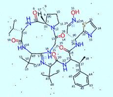 CC(C)[C@@H]1NC(=O)[C@@H]2[C@H](C)CCN2C(=O)CN/C(=N\C(C(=O)NC(C(=O)N[C@H](C/C=N/O)c2nccs2)[C@@H](C)c2ccccc2)C(C)(C)C)C(C(C)(C)C)NC1=O